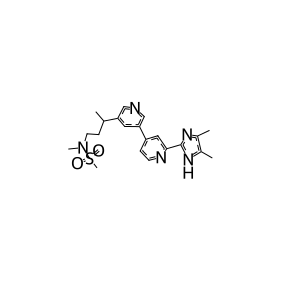 Cc1nc(-c2cc(-c3cncc(C(C)CCN(C)S(C)(=O)=O)c3)ccn2)[nH]c1C